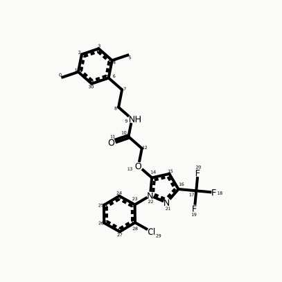 Cc1ccc(C)c(CCNC(=O)COc2cc(C(F)(F)F)nn2-c2ccccc2Cl)c1